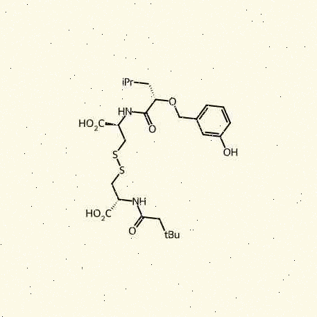 CC(C)C[C@H](OCc1cccc(O)c1)C(=O)N[C@@H](CSSC[C@H](NC(=O)CC(C)(C)C)C(=O)O)C(=O)O